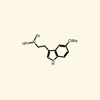 CCCN(CCc1c[nH]c2ccc(OC)cc12)C(C)C